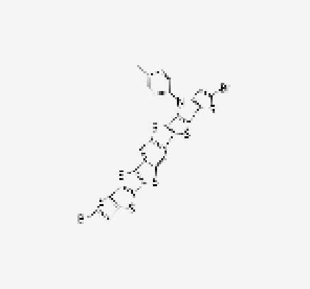 Cc1ccc(-n2c3cc(Br)sc3c3sc4c5cc6sc7c(sc8c9sc(Br)cc9sc87)c6cc5sc4c32)cc1